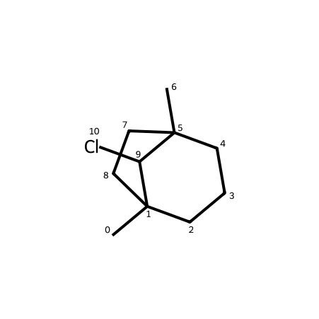 CC12CCCC(C)(CC1)C2Cl